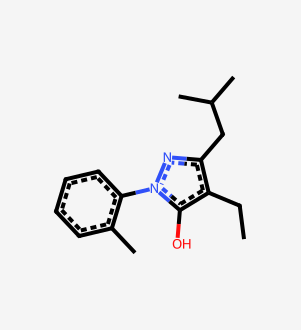 CCc1c(CC(C)C)nn(-c2ccccc2C)c1O